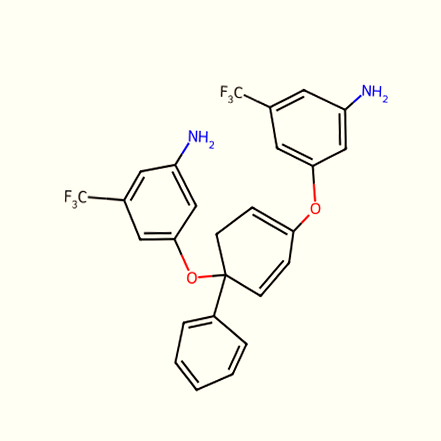 Nc1cc(OC2=CCC(Oc3cc(N)cc(C(F)(F)F)c3)(c3ccccc3)C=C2)cc(C(F)(F)F)c1